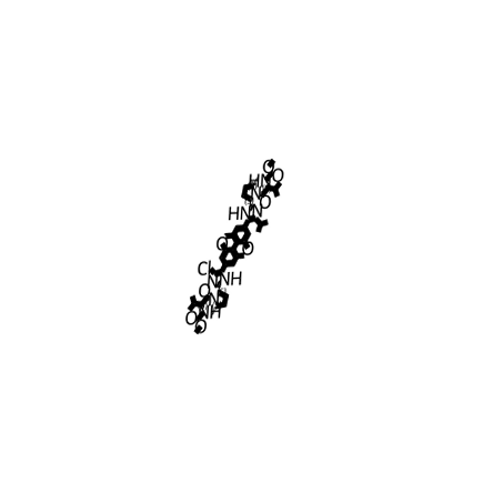 COC(=O)N[C@H](C(=O)N1[C@@H](C)CC[C@H]1c1nc(Cl)c(-c2cc3c4c(c2)OCc2cc(-c5[nH]c([C@@H]6CC[C@H](C)N6C(=O)[C@@H](NC(=O)OC)C(C)C)nc5C(C)C)cc(c2-4)OC3)[nH]1)C(C)C